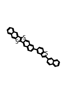 c1ccc2cc(-c3cc4cc(-c5ccc6cc7c(cc6c5)sc5c6cc8ccccc8cc6sc75)ccc4s3)ccc2c1